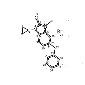 Cn1c(=O)n(C2CC2)c2cc[n+](Cc3ccccc3)cc21.[Br-]